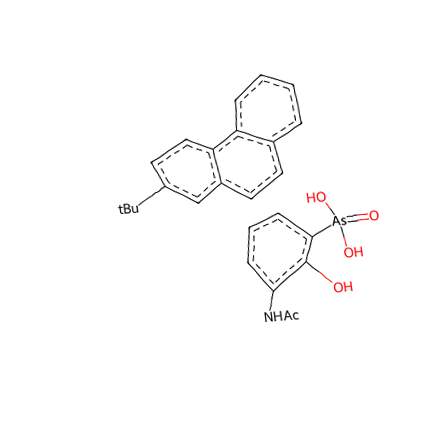 CC(=O)Nc1cccc([As](=O)(O)O)c1O.CC(C)(C)c1ccc2c(ccc3ccccc32)c1